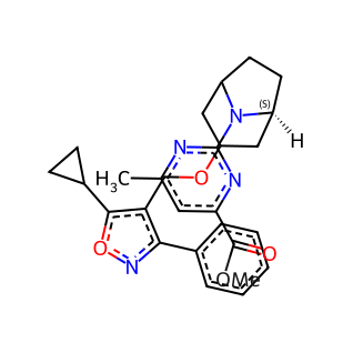 COC(=O)c1cc(C)nc(N2C3CC[C@H]2CC(OCc2c(-c4ccccc4)noc2C2CC2)C3)n1